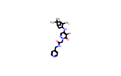 CC1C(Nc2cnn(CC(=O)NCc3ccncc3)c(=O)c2Br)CC2CC1C2(C)C